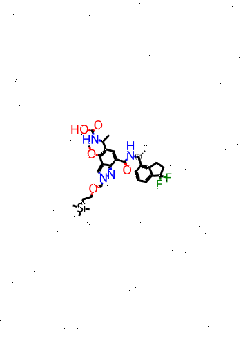 COc1c(C(C)NC(=O)O)cc(C(=O)N[C@H](C)c2cccc3c2CCC3(F)F)c2nn(COCC[Si](C)(C)C)cc12